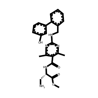 COC(=O)[C@H](CN)NC(=O)c1c(C)nc(NCc2ccccc2-c2cccc(O)c2)nc1C